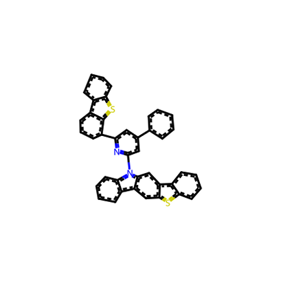 c1ccc(-c2cc(-c3cccc4c3sc3ccccc34)nc(-n3c4ccccc4c4cc5sc6ccccc6c5cc43)c2)cc1